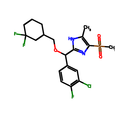 Cc1[nH]c(C(OCC2CCCC(F)(F)C2)c2ccc(F)c(Cl)c2)nc1S(C)(=O)=O